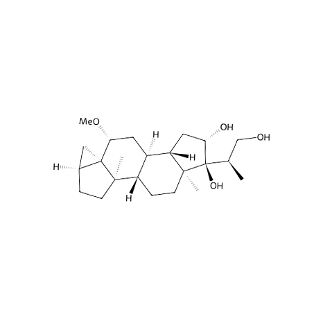 CO[C@@H]1C[C@H]2[C@@H]3C[C@H](O)[C@](O)([C@H](C)CO)[C@@]3(C)CC[C@@H]2[C@@]2(C)CC[C@H]3C[C@]312